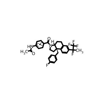 CC(=O)NC12CCC(C(=O)N3CC[C@@]4(Cc5ccc(F)cc5)c5ccc(C(C)(F)C(F)(F)F)cc5CC[C@@H]34)(CC1)CC2